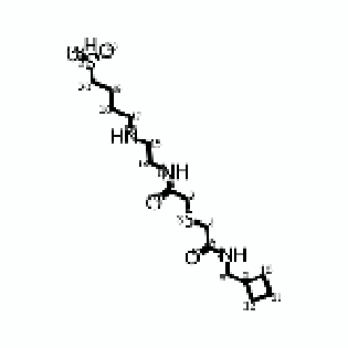 O=C(CSCC(=O)NCC1CCC1)NCCNCCCC[SH](=O)=O